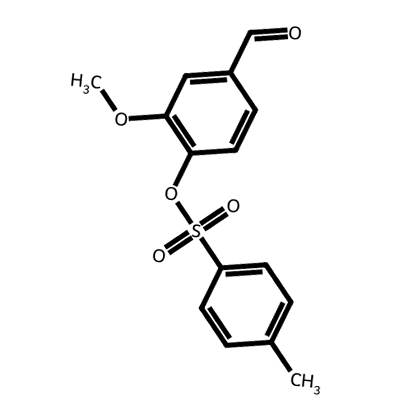 COc1cc(C=O)ccc1OS(=O)(=O)c1ccc(C)cc1